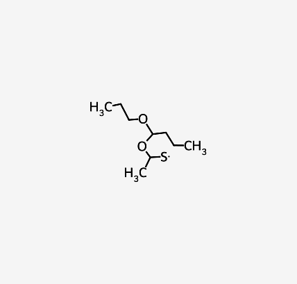 CCCOC(CCC)OC(C)[S]